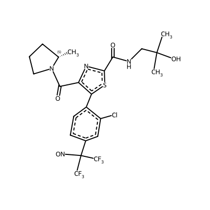 C[C@H]1CCCN1C(=O)c1nc(C(=O)NCC(C)(C)O)sc1-c1ccc(C(N=O)(C(F)(F)F)C(F)(F)F)cc1Cl